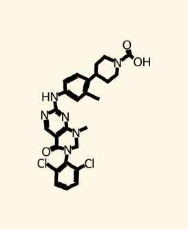 Cc1cc(Nc2ncc3c(n2)N(C)CN(c2c(Cl)cccc2Cl)C3=O)ccc1C1CCN(C(=O)O)CC1